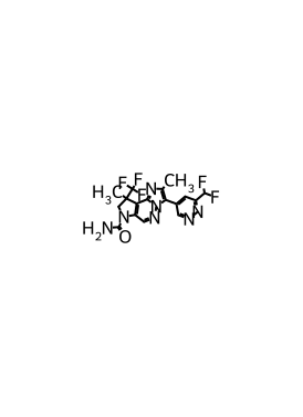 Cc1nc2c3c(cnn2c1-c1cnnc(C(F)F)c1)N(C(N)=O)CC3(C)C(F)(F)F